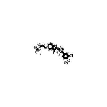 Cc1c2c(nn1-c1nnc(-c3ccc(OC(C)C)c(Cl)c3)s1)CCN(CCC(=O)OC(=O)C(F)(F)F)C2